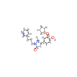 COc1ccc(C2CC(=O)N(CCCc3cccnc3)N2C)cc1OC1CCCC1